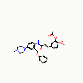 COc1ccc(/C=C/C(=O)Nc2ccc(N3CCN(C)CC3)cc2COc2ccccc2)cc1OC(C)=O